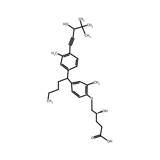 CCCCC(c1ccc(C#CC(O)C(C)(C)C)c(C)c1)c1ccc(OC[C@@H](O)CCC(=O)O)c(C)c1